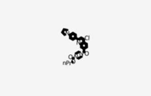 CCCOC(=O)N1CCN(C(=O)c2ccc3c(Cl)cc(-c4ccc(N5CCCC5)cc4)nc3c2)CC1